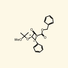 COC(C)(C)O[C@H]1C(=O)N(C(=O)OCc2ccccc2)[C@H]1c1ccccc1